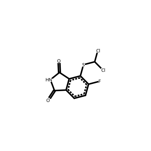 O=C1NC(=O)c2c1ccc(F)c2SC(Cl)Cl